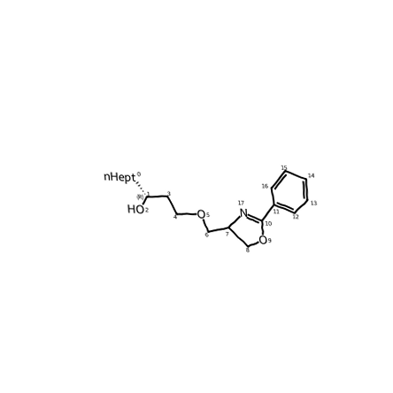 CCCCCCC[C@@H](O)CCOCC1COC(c2ccccc2)=N1